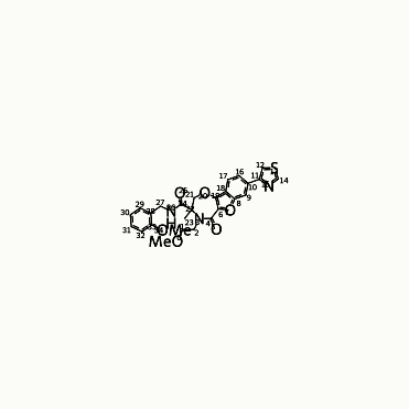 COCCN1C(=O)c2oc3cc(-c4cscn4)ccc3c2OCC1(C)C(=O)NCc1ccccc1OC